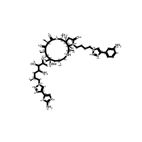 CC[C@H]1OC(=O)[C@H](C)C(=O)[C@H](C)[C@@H](OC(C)C(O)C(N)C[C@H](C)Cn2cc(-c3cnc(N)s3)nn2)[C@](C)(OC)C[C@@H](C)CN[C@H](C)[C@@H]2[C@@H]1CC(=O)N2CCCCn1cc(-c2cccc(N)c2)nn1